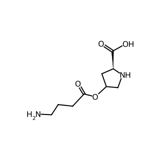 NCCCC(=O)OC1CN[C@H](C(=O)O)C1